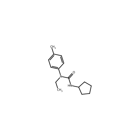 CCN(C(=O)NC1CCCC1)c1ccc(C)cc1